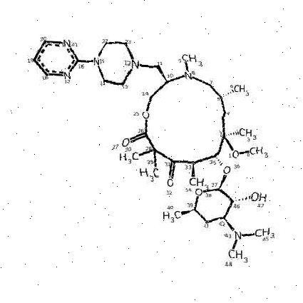 CO[C@]1(C)C[C@@H](C)CN(C)[C@H](CN2CCN(c3ncccn3)CC2)COC(=O)C(C)(C)C(=O)[C@H](C)[C@H]1O[C@@H]1O[C@H](C)C[C@H](N(C)C)[C@H]1O